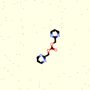 O=C(OCc1ncccn1)OCc1ncccn1